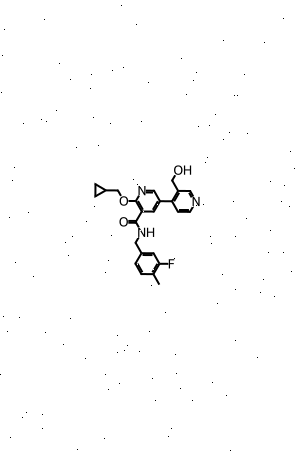 Cc1ccc(CNC(=O)c2cc(-c3ccncc3CO)cnc2OCC2CC2)cc1F